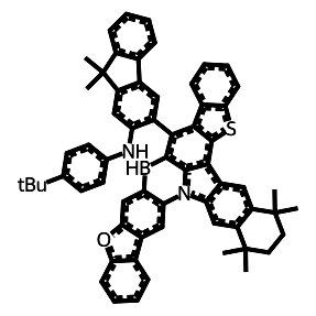 CC(C)(C)c1ccc(Nc2cc3c(cc2-c2c4c5c(c6cc7c(cc6n5-c5cc6c(cc5B4)oc4ccccc46)C(C)(C)CCC7(C)C)c4sc5ccccc5c24)-c2ccccc2C3(C)C)cc1